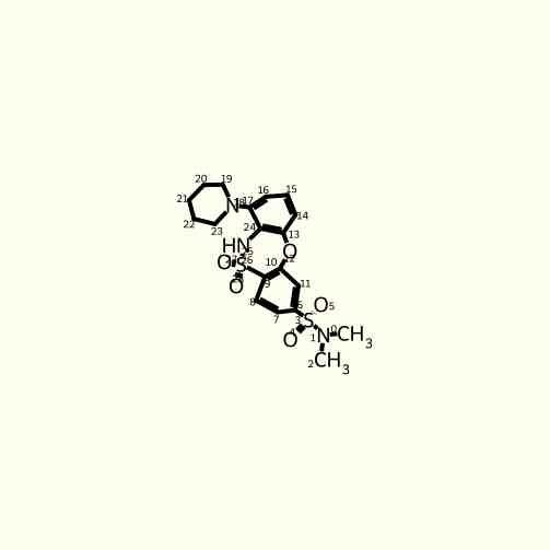 CN(C)S(=O)(=O)c1ccc2c(c1)Oc1cccc(N3CCCCC3)c1NS2(=O)=O